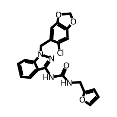 O=C(NCc1ccco1)Nc1nn(Cc2cc3c(cc2Cl)OCO3)c2ccccc12